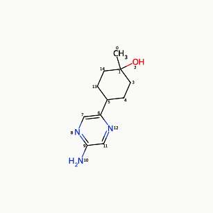 CC1(O)CCC(c2cnc(N)cn2)CC1